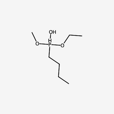 CCCC[PH](O)(OC)OCC